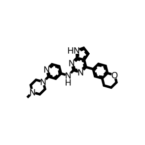 CN1CCN(c2cc(Nc3nc(-c4ccc5c(c4)CCCO5)c4cc[nH]c4n3)ccn2)CC1